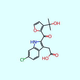 CC(C)(O)c1ccoc1C(=O)c1[nH]c2cc(Cl)ccc2c1CC(=O)O